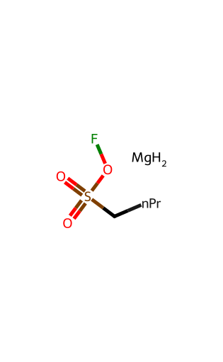 CCCCS(=O)(=O)OF.[MgH2]